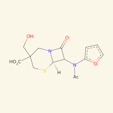 CC(=O)N(c1ccco1)C1C(=O)N2CC(CO)(C(=O)O)CS[C@H]12